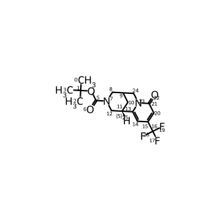 CC(C)(C)OC(=O)N1CC2C[C@@H](C1)c1cc(C(F)(F)F)cc(=O)n1C2